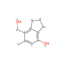 Cc1cc(O)c2c(c1CO)CCC2